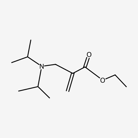 C=C(CN(C(C)C)C(C)C)C(=O)OCC